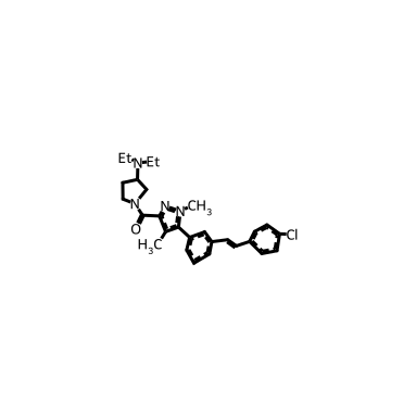 CCN(CC)C1CCN(C(=O)c2nn(C)c(-c3cccc(C=Cc4ccc(Cl)cc4)c3)c2C)C1